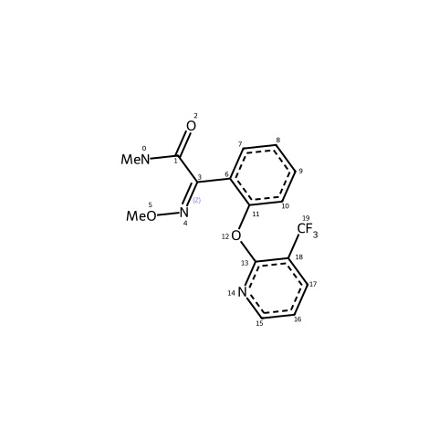 CNC(=O)/C(=N\OC)c1ccccc1Oc1ncccc1C(F)(F)F